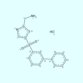 Cl.NCc1ncc(S(=O)(=O)c2cccc(-c3ccccc3)c2)s1